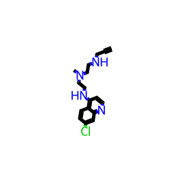 C#CCNCCN(C)CCNc1ccnc2cc(Cl)ccc12